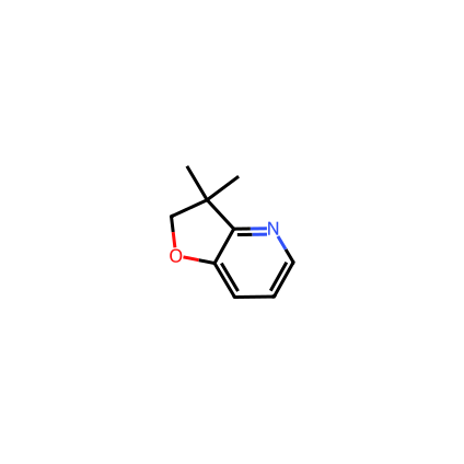 CC1(C)COc2cccnc21